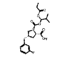 CCC(=O)O[C@H](OC(=O)N1C[C@@H](Cc2cccc(F)c2)C[C@H]1C(=O)O)C(C)C